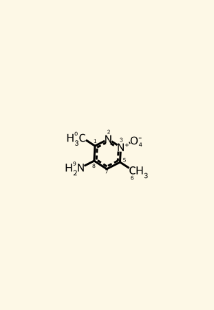 Cc1n[n+]([O-])c(C)cc1N